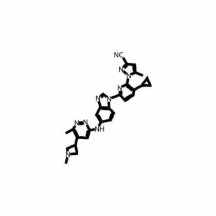 Cc1nnc(Nc2ccc3c(c2)ncn3-c2ccc(C3CC3)c(-n3nc(C#N)cc3C)n2)cc1C1CN(C)C1